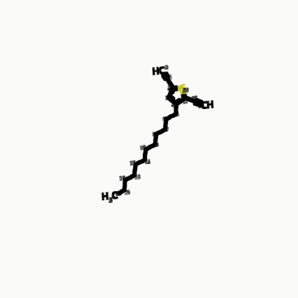 C#Cc1cc(CCCCCCCCCCCC)c(C#C)s1